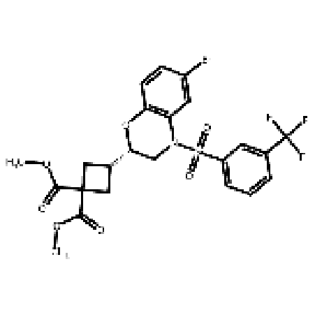 COC(=O)C1(C(=O)OC)CC([C@H]2CN(S(=O)(=O)c3cccc(C(F)(F)F)c3)c3cc(Br)ccc3O2)C1